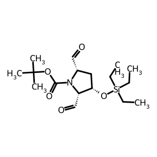 CC[Si](CC)(CC)O[C@H]1C[C@@H](C=O)N(C(=O)OC(C)(C)C)[C@H]1C=O